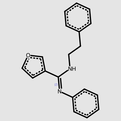 c1ccc(CCN/C(=N\c2ccccc2)c2ccoc2)cc1